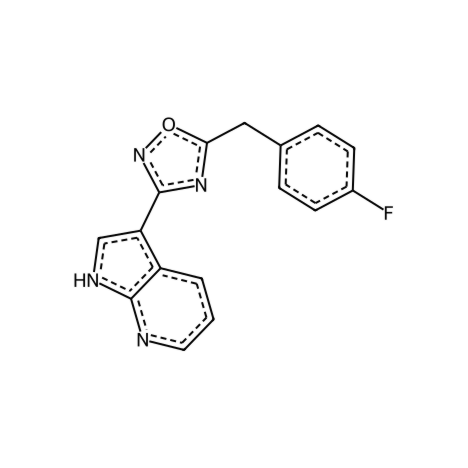 Fc1ccc(Cc2nc(-c3c[nH]c4ncccc34)no2)cc1